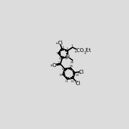 CCOC(=O)Cc1c(Cl)cc(C(=O)c2ccc(Cl)c(Cl)c2)n1C